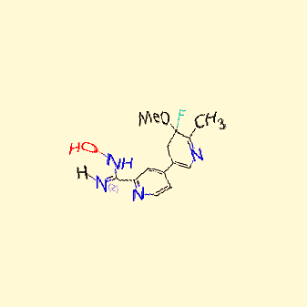 [H]/N=C(\NO)c1cc(C2=CN=C(C)C(F)(OC)C2)ccn1